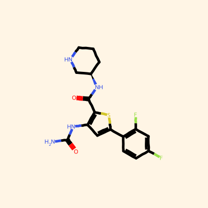 NC(=O)Nc1cc(-c2ccc(F)cc2F)sc1C(=O)N[C@@H]1CCCNC1